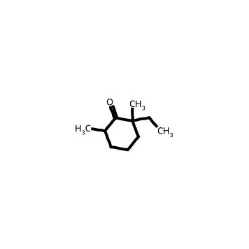 CCC1(C)CCCC(C)C1=O